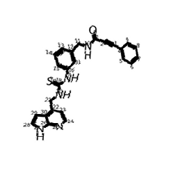 O=C(C#Cc1ccccc1)NCc1cccc(NC(=S)NCc2ccnc3[nH]ccc23)c1